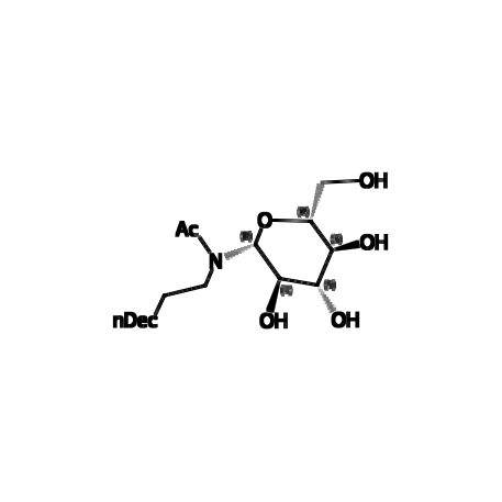 CCCCCCCCCCCCN(C(C)=O)[C@@H]1O[C@H](CO)[C@@H](O)[C@H](O)[C@H]1O